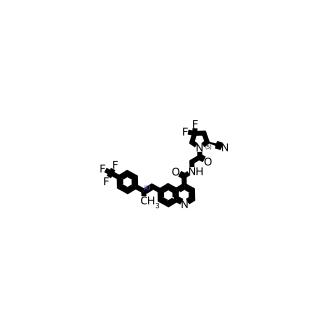 C/C(=C\c1ccc2nccc(C(=O)NCC(=O)N3CC(F)(F)C[C@H]3C#N)c2c1)c1ccc(C(F)(F)F)cc1